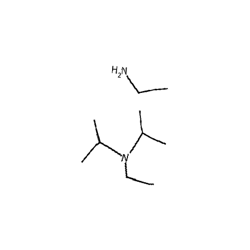 CCN.CCN(C(C)C)C(C)C